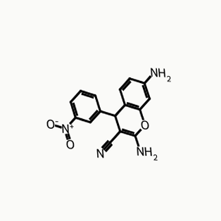 N#CC1=C(N)Oc2cc(N)ccc2C1c1cccc([N+](=O)[O-])c1